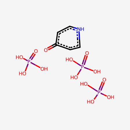 O=P(O)(O)O.O=P(O)(O)O.O=P(O)(O)O.O=c1cc[nH]cc1